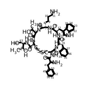 C[C@@H](O)C1NC(=O)[C@H](CCCCN)NC(=O)[C@@H](Cc2c[nH]c3ccccc23)NC(=O)[C@H](Cc2ccccc2)NC(=O)[C@@H](NC(=O)C(N)Cc2ccccc2)CSSC[C@@H](C(=O)N[C@H](CO)[C@@H](C)O)NC1=O